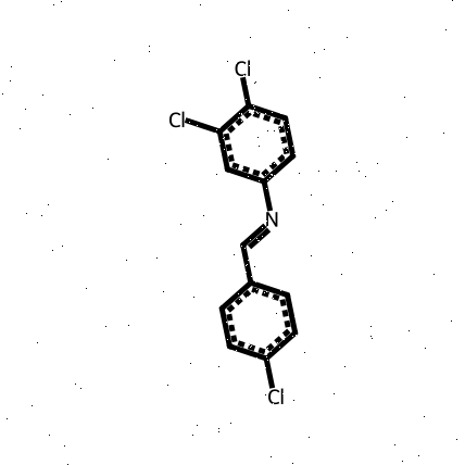 Clc1ccc(C=Nc2ccc(Cl)c(Cl)c2)cc1